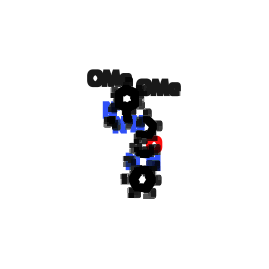 COc1cc2ncnc(N3CC[C@H](Oc4cnc5ccccc5n4)C3)c2cc1OC